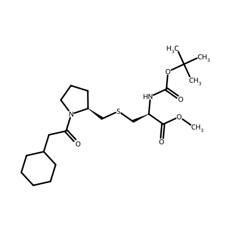 COC(=O)[C@@H](CSC[C@@H]1CCCN1C(=O)CC1CCCCC1)NC(=O)OC(C)(C)C